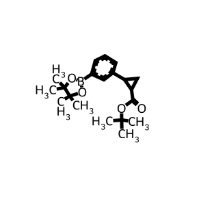 CC(C)(C)OC(=O)C1CC1c1cccc(B2OC(C)(C)C(C)(C)O2)c1